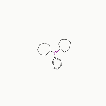 c1ccc(P(C2CCCCCC2)C2CCCCCC2)cc1